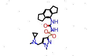 CN(Cc1cc(S(=O)(=O)NC(=O)Nc2c3c(cc4c2CCC4)CCC3)nn1C)C1CC1